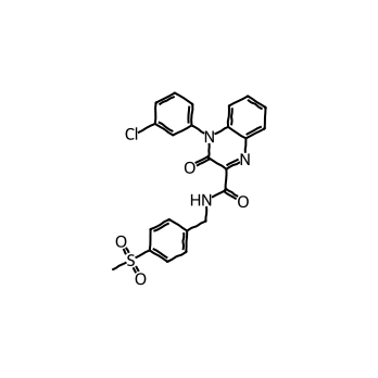 CS(=O)(=O)c1ccc(CNC(=O)c2nc3ccccc3n(-c3cccc(Cl)c3)c2=O)cc1